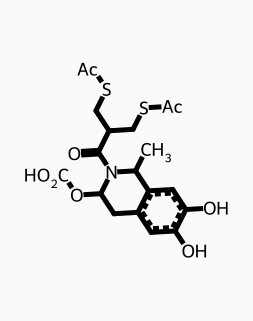 CC(=O)SCC(CSC(C)=O)C(=O)N1C(OC(=O)O)Cc2cc(O)c(O)cc2C1C